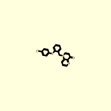 O=c1ccn(Cc2ccccc2Sc2ccc(Cl)cc2)c2cccnc12